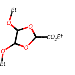 CCOC(=O)C1OC(OCC)C(OCC)O1